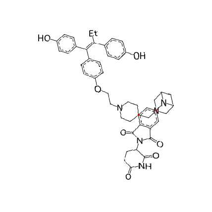 CCC(=C(c1ccc(O)cc1)c1ccc(OCCN2CCC(CN3CC4CC(C3)N4c3ccc4c(c3)C(=O)N(C3CCC(=O)NC3=O)C4=O)CC2)cc1)c1ccc(O)cc1